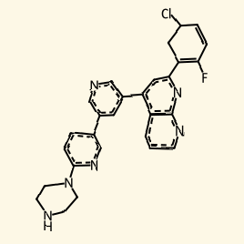 FC1=C(c2cc(-c3cncc(-c4ccc(N5CCNCC5)nc4)c3)c3cccnc3n2)CC(Cl)C=C1